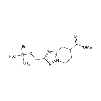 COC(=O)C1CCn2nc(CO[Si](C)(C)C(C)(C)C)nc2C1